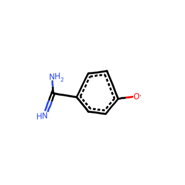 N=C(N)c1ccc([O])cc1